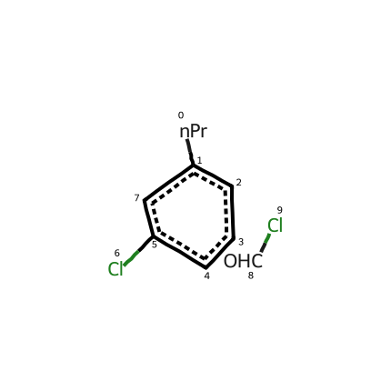 CCCc1cccc(Cl)c1.O=CCl